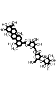 CC1CC(C(=O)OC2OC(COC3OC(CO)C(OC4OC(C)C(O)C(O)(O)C4O)C(O)C3O)C(O)C(O)C2O)C2CCC3(C)C(=CCC4C3CCC3C(C)(CO)C(O)C(O)CC43C)C2C1C